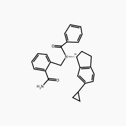 NC(=O)c1ccccc1CN(C(=O)c1ccccc1)[C@@H]1CCc2ccc(C3CC3)cc21